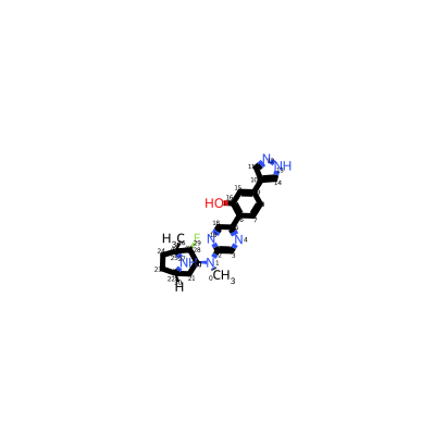 CN(c1cnc(-c2ccc(-c3cn[nH]c3)cc2O)cn1)[C@H]1C[C@@H]2CC[C@@](C)(N2)[C@H]1F